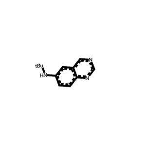 CC(C)(C)Nc1ccc2ncncc2c1